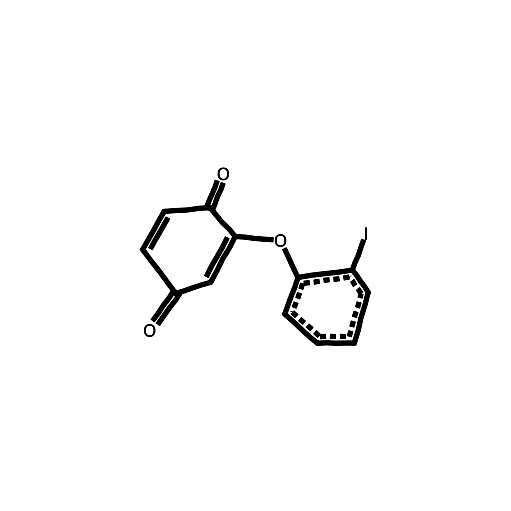 O=C1C=CC(=O)C(Oc2ccccc2I)=C1